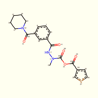 CN(NC(=O)c1cccc(C(=O)N2CCCCC2)c1)C(=O)OC(=O)c1ccsc1